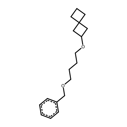 c1ccc(COCCCCOC2CC3(CCC3)C2)cc1